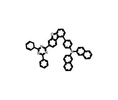 C1=CCC(c2nc(-c3ccccc3)nc(-c3ccc4c(c3)oc3cccc(-c5ccc(N(c6ccc7ccccc7c6)c6ccc7ccccc7c6)cc5)c34)n2)C=C1